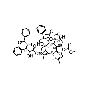 COC(=O)O[C@H]1C[C@H]2OC[C@@]2(OC(C)=O)C2[C@H](OC(=O)c3ccccc3)[C@]3(O)C[C@H](OC(=O)[C@H](O)[C@H](NC(=O)c4ccccc4)c4ccccc4)C(C)=C([C@@H](OC(C)=O)C(=O)[C@@]21C)C3(C)C